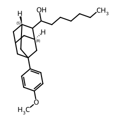 CCCCCCC(O)C1[C@@H]2CC3C[C@H]1CC(c1ccc(OC)cc1)(C3)C2